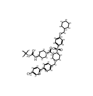 CC(C)(C)OC(=O)NC1CCN(C(=O)[C@@H]2CN(Cc3ccc(-c4ccc(Cl)cn4)nc3)CCN2S(=O)(=O)c2ccc(OCC3CCCCC3)cc2)CC1